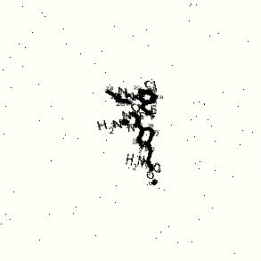 CCOC(=O)[C@@H](N)CC1CC=C(c2cc(O[C@H](c3ccc(Cl)cc3-n3ccc(C)n3)C(F)(F)F)nc(N)n2)CC1